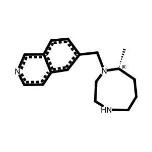 C[C@@H]1CCCNCCN1Cc1ccc2cnccc2c1